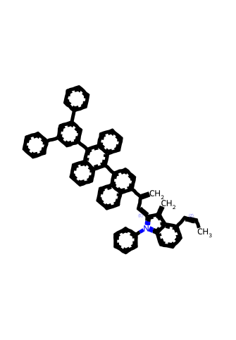 C=C(/C=c1\c(=C)c2c(/C=C\C)cccc2n1-c1ccccc1)c1ccc(-c2c3ccccc3c(-c3cc(-c4ccccc4)cc(-c4ccccc4)c3)c3ccccc23)c2ccccc12